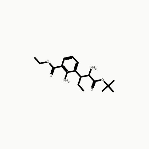 CCOC(=O)c1cccc(C(CC)C(N)C(=O)OC(C)(C)C)c1N